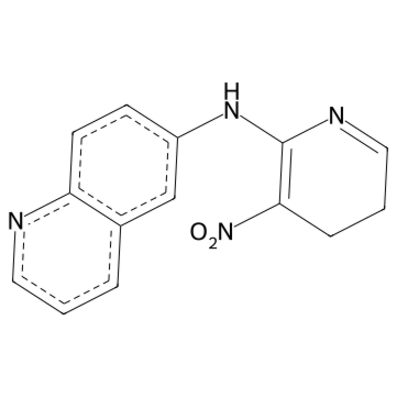 O=[N+]([O-])C1=C(Nc2ccc3ncccc3c2)N=CCC1